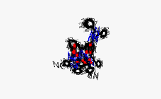 N#Cc1ccc(-c2ccc(-n3c4ccccc4c4cc(-c5nc(-c6ccccc6)nc(-c6ccccc6)n5)ccc43)c(-c3nc(-c4ccccc4)nc(-c4ccc(C#N)cc4-n4c5ccccc5c5cc(-c6nc(-c7ccccc7)cc(-c7ccccc7)n6)ccc54)n3)c2)cc1